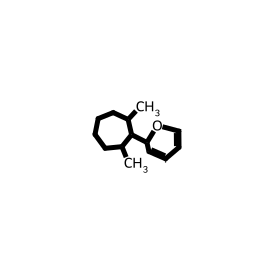 CC1CCCCC(C)C1C1C=[C]C=CO1